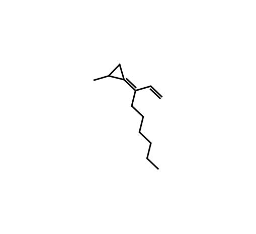 C=CC(CCCCCC)=C1CC1C